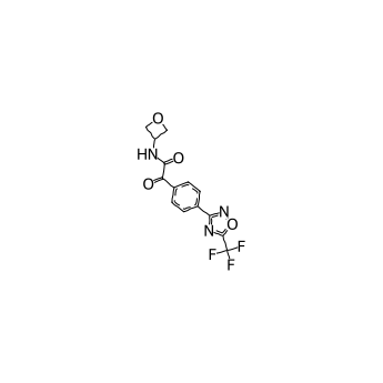 O=C(NC1COC1)C(=O)c1ccc(-c2noc(C(F)(F)F)n2)cc1